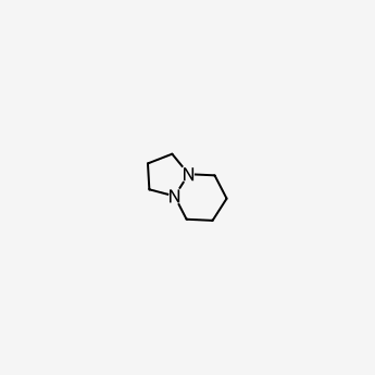 C1CCN2CCCN2C1